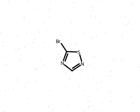 Brc1n[c]ns1